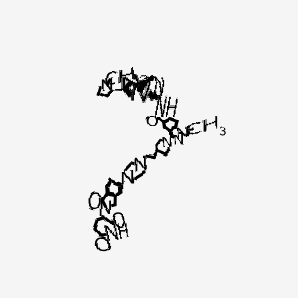 CN1CCC[C@@H]1c1cn2cc(NC(=O)c3ccc4c(c3)c(N3CCC(CCN5CCN(c6ccc7c(c6)CN(C6CCC(=O)NC6=O)C7=O)CC5)CC3)nn4C)ncc2n1